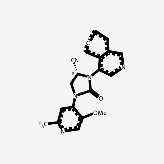 COc1cnc(C(F)(F)F)cc1N1C[C@H](C#N)N(c2cncc3ccccc23)C1=O